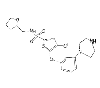 O=S(=O)(NCC1CCCO1)c1cc(Cl)c(Oc2cccc(N3CCNCC3)c2)s1